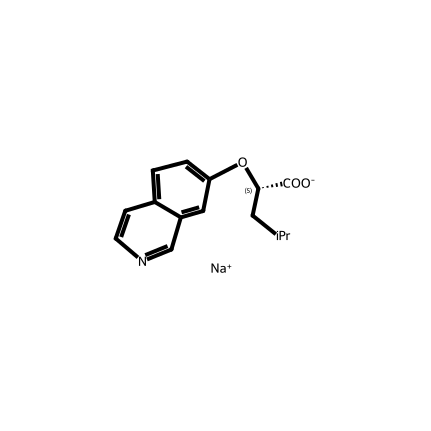 CC(C)C[C@H](Oc1ccc2ccncc2c1)C(=O)[O-].[Na+]